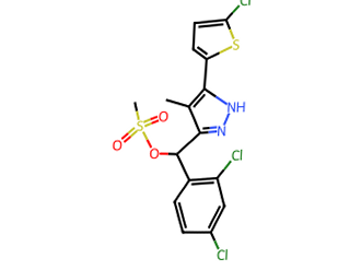 Cc1c(C(OS(C)(=O)=O)c2ccc(Cl)cc2Cl)n[nH]c1-c1ccc(Cl)s1